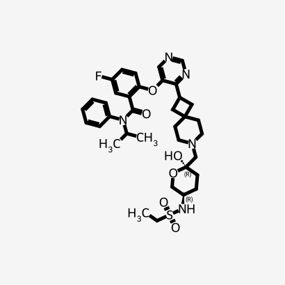 CCS(=O)(=O)N[C@@H]1CC[C@](O)(CN2CCC3(CC2)CC(c2ncncc2Oc2ccc(F)cc2C(=O)N(c2ccccc2)C(C)C)C3)OC1